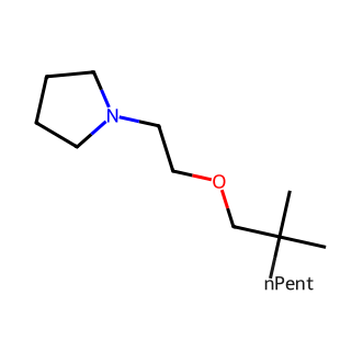 CCCCCC(C)(C)COCCN1CCCC1